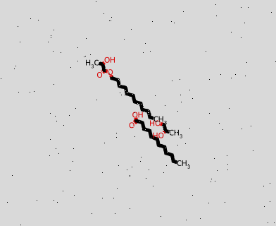 CC(O)CO.CCCCCCCCCCCC(=O)O.CCCCCCCCCCCCOC(=O)C(C)O